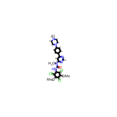 CCN1CCN(c2ccc(-c3cc(N(C)C(=O)Nc4c(Cl)c(OC)c(Cl)c(OC)c4Cl)ncn3)cc2)CC1